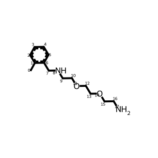 Cc1ccccc1CNCCOCCOCCN